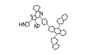 C1=NC(c2c(-c3cc[nH]c3)sc3c2c(-c2ccc(-c4ccc5c(-c6ccc7ccccc7c6)c6ccccc6c(-c6ccc7ccccc7c6)c5c4)cc2)nc2ccccc23)=C1